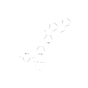 Cc1ccc(N2c3ccc(-c4ccc5c(c4)C(C)(C)c4ccc6c(ccc7ccccc76)c4-5)cc3CC3(C)CCCCC23C)cc1